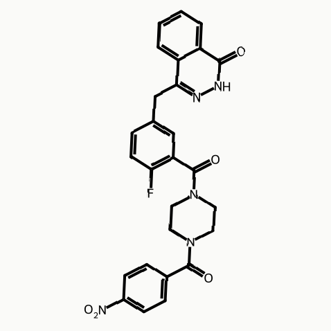 O=C(c1ccc([N+](=O)[O-])cc1)N1CCN(C(=O)c2cc(Cc3n[nH]c(=O)c4ccccc34)ccc2F)CC1